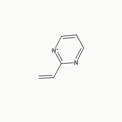 C=CC1=[N+]C=CC=N1